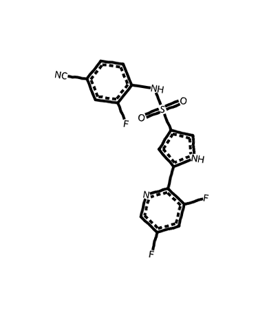 N#Cc1ccc(NS(=O)(=O)c2c[nH]c(-c3ncc(F)cc3F)c2)c(F)c1